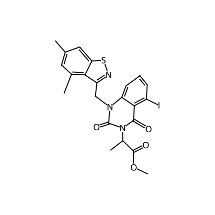 COC(=O)C(C)n1c(=O)c2c(I)cccc2n(Cc2nsc3cc(C)cc(C)c23)c1=O